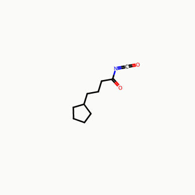 O=C=NC(=O)CCCC1CCCC1